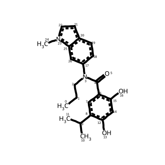 CCCN(C(=O)c1cc(C(C)C)c(O)cc1O)c1ccc2ccn(C)c2c1